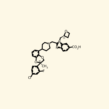 C[C@@]1(c2ccc(Cl)cc2F)COc2c(cccc2C2CCN(Cc3nc4ccc(C(=O)O)cc4n3C[C@@H]3CCO3)CC2)O1